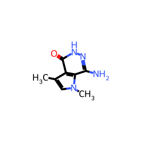 Cc1cn(C)c2c(N)n[nH]c(=O)c12